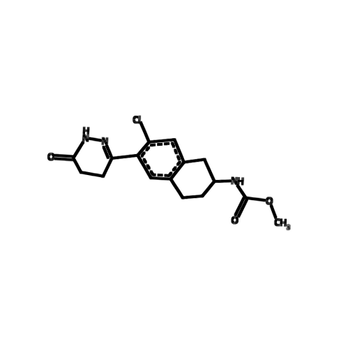 COC(=O)NC1CCc2cc(C3=NNC(=O)CC3)c(Cl)cc2C1